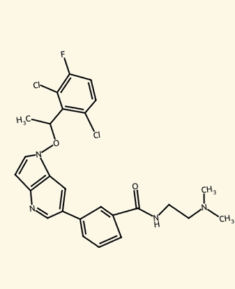 CC(On1ccc2ncc(-c3cccc(C(=O)NCCN(C)C)c3)cc21)c1c(Cl)ccc(F)c1Cl